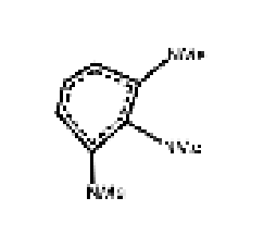 CNc1cccc(NC)c1NC